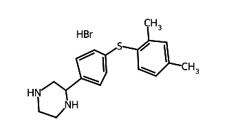 Br.Cc1ccc(Sc2ccc(C3CNCCN3)cc2)c(C)c1